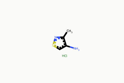 Cc1nscc1N.Cl